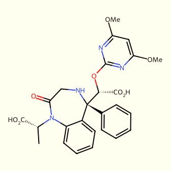 COc1cc(OC)nc(O[C@H](C(=O)O)[C@@]2(c3ccccc3)NCC(=O)N([C@H](C)C(=O)O)c3ccccc32)n1